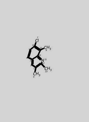 Cc1cc2ccc(Cl)c(C)c2nc1C